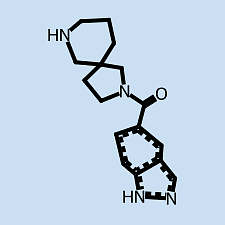 O=C(c1ccc2[nH]ncc2c1)N1CCC2(CCCNC2)C1